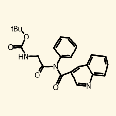 CC(C)(C)OC(=O)NCC(=O)N(C(=O)c1cnc2ccccc2c1)c1ccccc1